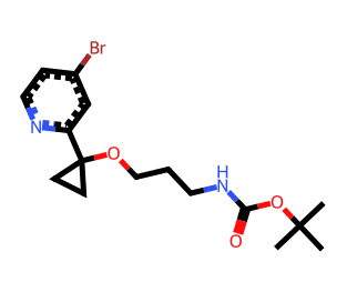 CC(C)(C)OC(=O)NCCCOC1(c2cc(Br)ccn2)CC1